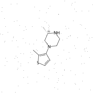 Cc1sccc1N1CCN[C@@H](C)C1